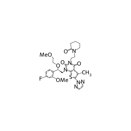 COCCO[C@@H](Cn1c(=O)n(CCN2CCCCC2=O)c(=O)c2c(C)c(-n3nccn3)sc21)c1ccc(F)cc1OC